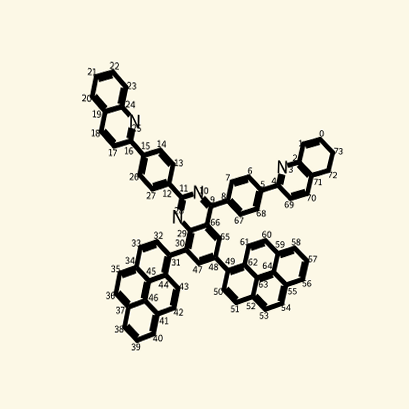 C1=Cc2nc(-c3ccc(-c4nc(-c5ccc(-c6ccc7ccccc7n6)cc5)nc5c(-c6ccc7ccc8cccc9ccc6c7c89)cc(-c6ccc7ccc8cccc9ccc6c7c89)cc45)cc3)ccc2CC1